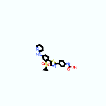 O=C(O)NC1CCC(c2ncc(-c3ccc(Nc4ccccn4)cc3S(=O)(=O)C3CC3)s2)CC1